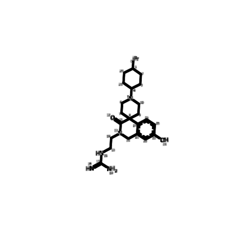 CC(C)C1CCC(N2CCC3(CC2)C(=O)N(CCNC(=N)N)Cc2cc(O)ccc23)CC1